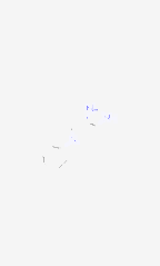 Cc1nc(CN2c3ccccc3CC2C)c[nH]1